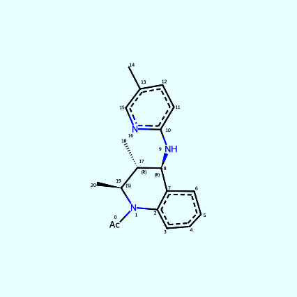 CC(=O)N1c2ccccc2[C@H](Nc2ccc(C)cn2)[C@@H](C)[C@@H]1C